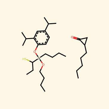 CCCCCC1CC1=O.CCCCO[Si](CCCC)(Oc1ccc(C(C)C)cc1C(C)C)C(S)CC